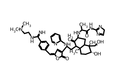 C=C1C(NC(C)C(=O)NC2=NCC=N2)CC2[C@](C)(CC[C@@H](O)[C@@]2(C)CO)C1CC(Nc1ccccn1)C1=C/C(=C\c2ccc(C(=N)NCCN(C)C)cc2)OC1=O